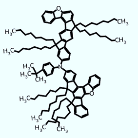 CCCCCCCCC1(CCCCCCCC)c2cc(N(c3ccc(C(C)(C)C)cc3)c3ccc4c(c3)C(CCCCCCC)(CCCCCCC)c3c5c(c6oc7ccccc7c6c3-4)-c3ccccc3C5(CCCCCCC)CCCCCCC)ccc2-c2cc3c(cc21)-c1c(ccc2oc4ccccc4c12)C3(CCCCCCCC)CCCCCCCC